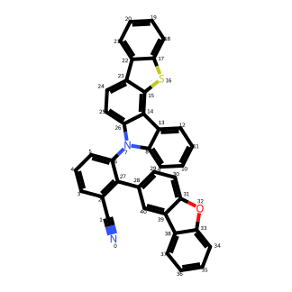 N#Cc1cccc(-n2c3ccccc3c3c4sc5ccccc5c4ccc32)c1-c1ccc2oc3ccccc3c2c1